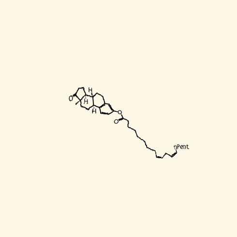 CCCCC/C=C\C/C=C\CCCCCCCC(=O)Oc1ccc2c(c1)CC[C@@H]1[C@@H]2CC[C@]2(C)C(=O)CC[C@@H]12